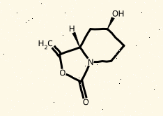 C=C1OC(=O)N2CC[C@H](O)C[C@@H]12